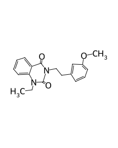 CCn1c(=O)n(CCc2cccc(OC)c2)c(=O)c2ccccc21